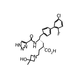 CC1(O)CN(CC[C@H](C[C@@H](Cc2ccc(-c3cc(Cl)ccc3F)cc2)NC(=O)c2c[nH]nn2)C(=O)O)C1